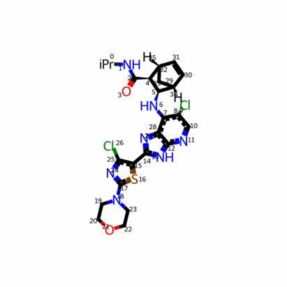 CC(C)NC(=O)[C@@H]1[C@H](Nc2c(Cl)cnc3[nH]c(-c4sc(N5CCOCC5)nc4Cl)nc23)[C@H]2C=C[C@@H]1C2